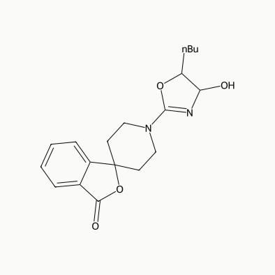 CCCCC1OC(N2CCC3(CC2)OC(=O)c2ccccc23)=NC1O